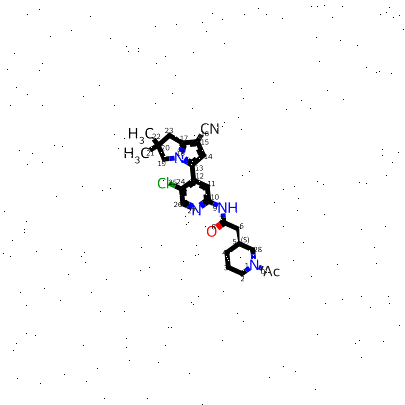 CC(=O)N1CCC[C@@H](CC(=O)Nc2cc(-c3cc(C#N)c4n3CC(C)(C)C4)c(Cl)cn2)C1